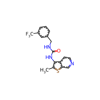 Cc1sc2cnccc2c1NC(=O)NCc1cccc(C(F)(F)F)c1